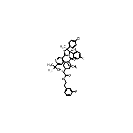 CCOc1cc(C(C)(C)C)ncc1C1=N[C@@](C)(c2ccc(Cl)cc2)[C@@](C)(c2ccc(Cl)cc2)N1C(=O)N1CCC(CC(=O)NCCc2cccc(F)c2)CC1